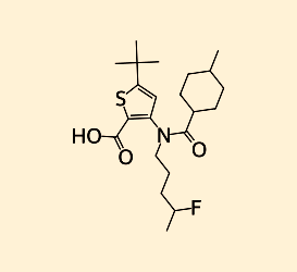 CC(F)CCCN(C(=O)C1CCC(C)CC1)c1cc(C(C)(C)C)sc1C(=O)O